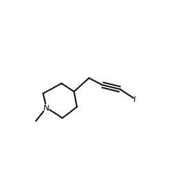 CN1CCC(CC#CI)CC1